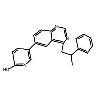 CC(Nc1ncnc2ccc(-c3ccc(O)nc3)cc12)c1ccccc1